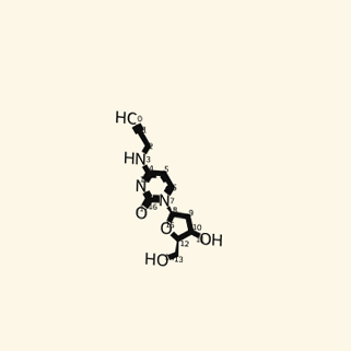 C#CCNc1ccn([C@H]2CC(O)[C@@H](CO)O2)c(=O)n1